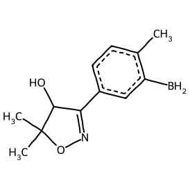 Bc1cc(C2=NOC(C)(C)C2O)ccc1C